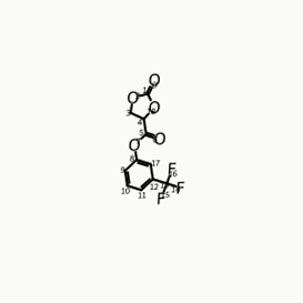 O=C1OCC(C(=O)Oc2cccc(C(F)(F)F)c2)O1